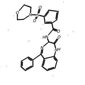 O=C(NC1N=C(c2ccccc2)c2ccccc2NC1=O)c1cccc(S(=O)(=O)N2CCOCC2)c1